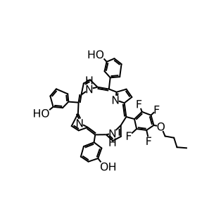 CCCCOc1c(F)c(F)c(-c2c3nc(c(-c4cccc(O)c4)c4ccc([nH]4)c(-c4cccc(O)c4)c4nc(c(-c5cccc(O)c5)c5ccc2[nH]5)C=C4)C=C3)c(F)c1F